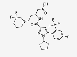 O=C(O)C[C@H](CCN1CCCC(F)(F)C1)NC(=O)c1cc(-c2ccc(F)cc2C(F)(F)F)n(C2CCCC2)n1